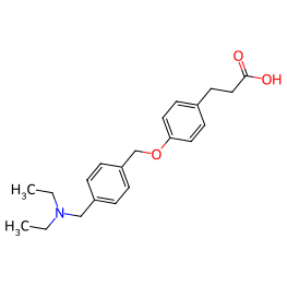 CCN(CC)Cc1ccc(COc2ccc(CCC(=O)O)cc2)cc1